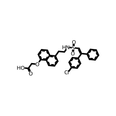 O=C(O)COc1cccc2c(CCNS(=O)(=O)C=C(c3ccccc3)c3ccc(Cl)cc3)cccc12